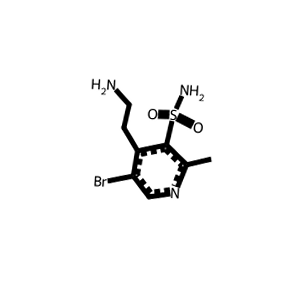 Cc1ncc(Br)c(CCN)c1S(N)(=O)=O